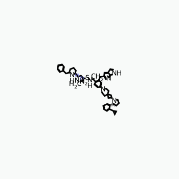 C=N/C(=C\C(N)=C1/CCCC(Cc2ccccc2)N1)SNC(=C)c1ccc(N2CCC3(CC2)CC(N2CCC[C@@H]2c2ccccc2C2CC2)C3)cc1Cc1cnc2[nH]ccc2c1